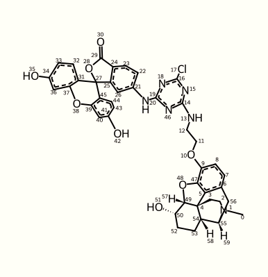 CN1CC[C@]23c4c5ccc(OCCNc6nc(Cl)nc(Nc7ccc8c(c7)C7(OC8=O)c8ccc(O)cc8Oc8cc(O)ccc87)n6)c4O[C@H]2[C@@H](O)CC[C@H]3[C@H]1C5